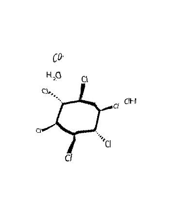 Cl.Cl[C@H]1[C@H](Cl)[C@@H](Cl)[C@@H](Cl)[C@H](Cl)[C@H]1Cl.O.[Co]